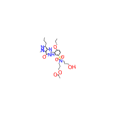 CCCOc1ccc(S(=O)(=O)N(CCCO)CCCOC(C)=O)cc1-c1nc2c(CCC)nn(C)c2c(=O)[nH]1